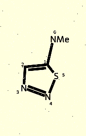 CNc1[c]nns1